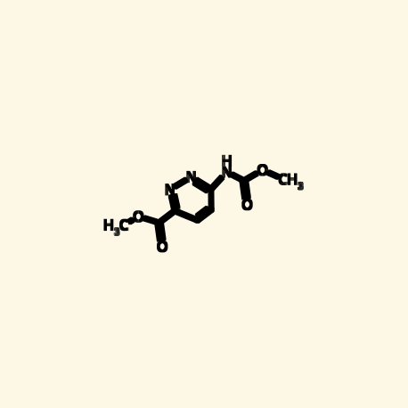 COC(=O)Nc1ccc(C(=O)OC)nn1